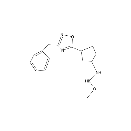 COBNC1CCC(c2nc(Cc3ccccc3)no2)C1